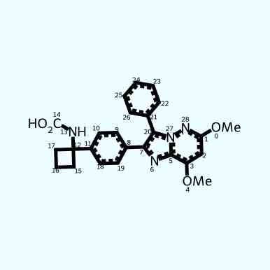 COc1cc(OC)c2nc(-c3ccc(C4(NC(=O)O)CCC4)cc3)c(-c3ccccc3)n2n1